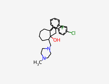 CN1CCN(CC2CCCCC(=Cc3ccc(Cl)cc3)C2(O)Cc2ccccc2F)CC1